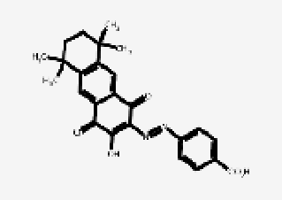 CC1(C)CCC(C)(C)c2cc3c(cc21)C(=O)C(O)=C(N=Nc1ccc(C(=O)O)cc1)C3=O